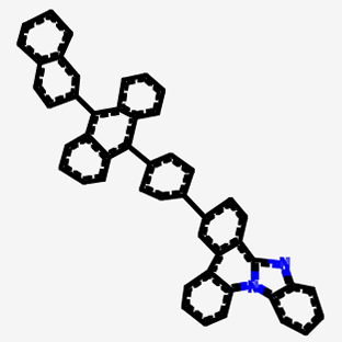 c1ccc2cc(-c3c4ccccc4c(-c4ccc(-c5ccc6c(c5)c5ccccc5n5c7ccccc7nc65)cc4)c4ccccc34)ccc2c1